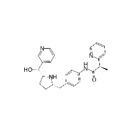 C[C@@H](C(=O)Nc1ccc(C[C@@H]2CC[C@H](C(O)c3cccnc3)N2)cc1)c1ccccn1